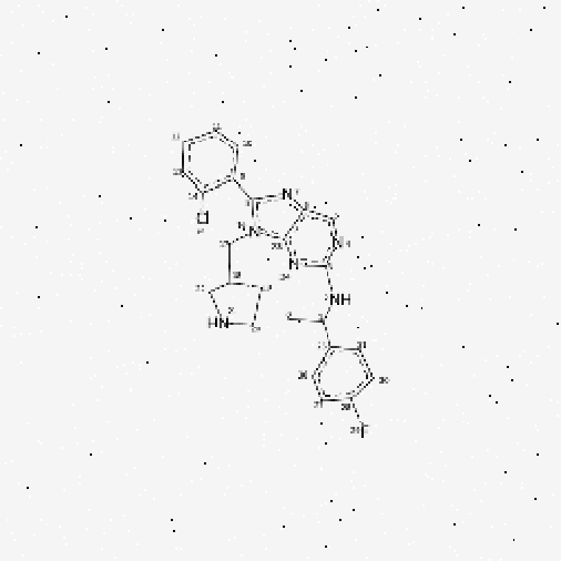 CC(Nc1ncc2nc(-c3ccccc3Cl)n(CC3CCNC3)c2n1)c1ccc(F)cc1